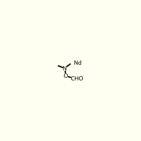 CN(C)OC=O.[Nd]